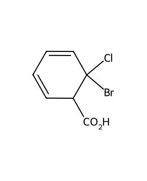 O=C(O)C1C=CC=CC1(Cl)Br